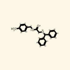 Cc1ccc(COC(=O)COC(c2ccccc2)c2ccccc2)cc1